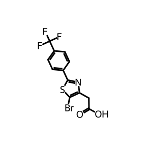 O=C(O)Cc1nc(-c2ccc(C(F)(F)F)cc2)sc1Br